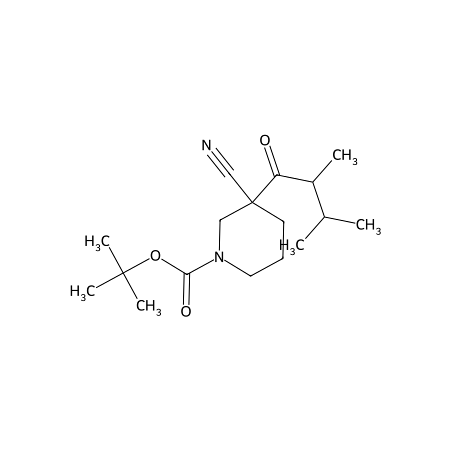 CC(C)C(C)C(=O)C1(C#N)CCCN(C(=O)OC(C)(C)C)C1